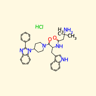 CC(C)(N)CC(=O)NC(Cc1c[nH]c2ccccc12)C(=O)N1CCC(n2c(-c3ccccc3)nc3ccccc32)CC1.Cl